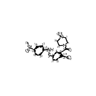 CCN1CCN(C(=O)c2cc(SNc3ccc([S+](C)[O-])cc3)ccc2Cl)CC1